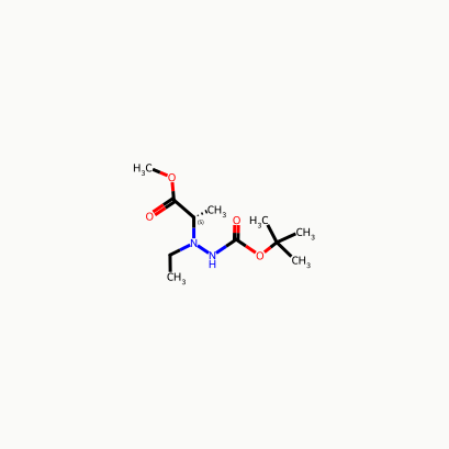 CCN(NC(=O)OC(C)(C)C)[C@@H](C)C(=O)OC